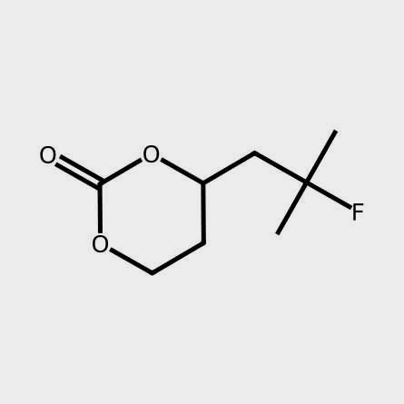 CC(C)(F)CC1CCOC(=O)O1